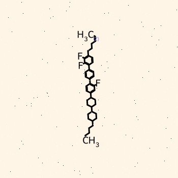 C/C=C\CCCc1ccc(-c2ccc(-c3ccc(C4CCC(C5CCC(CCCCC)CC5)CC4)cc3F)cc2)c(F)c1F